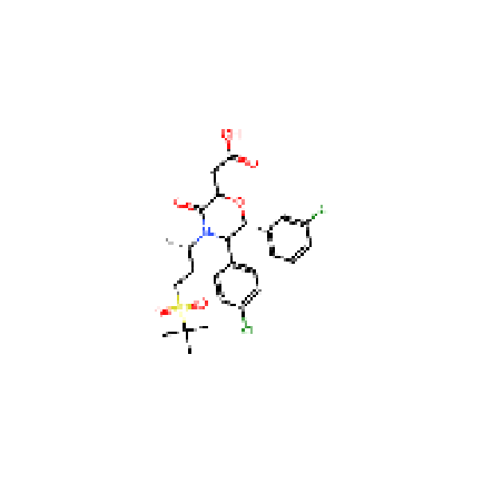 C[C@@H](CCS(=O)(=O)C(C)(C)C)N1C(=O)[C@@H](CC(=O)O)O[C@H](c2cccc(Cl)c2)[C@H]1c1ccc(Cl)cc1